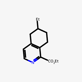 CCOC(=O)c1nccc2c1CCC(CC)C2